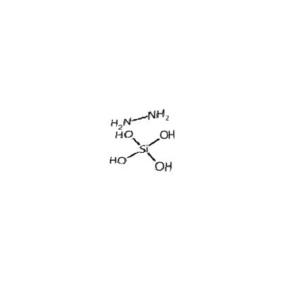 NN.O[Si](O)(O)O